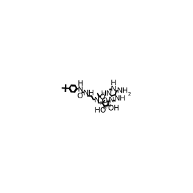 CC(=O)N(CCCNC(=O)Nc1ccc(C(C)(C)C)cc1)C[C@H]1O[C@@H](N2CNC3C(N)NCNC32)[C@H](O)[C@@H]1O